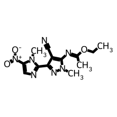 CCO/C(C)=N/c1c(C#N)c(-c2ncc([N+](=O)[O-])n2C)nn1C